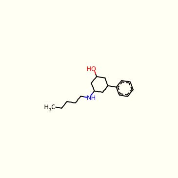 CCCCCNC1CC(O)CC(c2ccccc2)C1